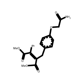 COC(=O)C(Cc1ccc(OCC(N)=O)cc1)=C(C(=O)OC)C(C)C